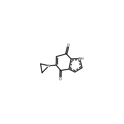 O=C1C(N2CC2)=CC(=O)c2[nH]ccc21